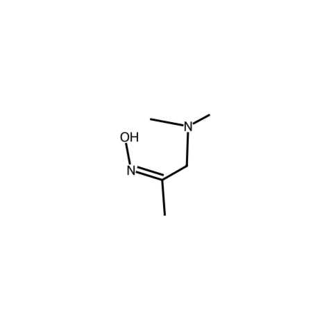 CC(CN(C)C)=NO